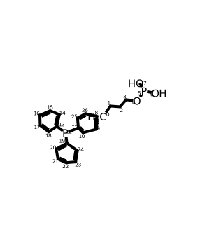 CCCCOP(O)O.c1ccc(P(c2ccccc2)c2ccccc2)cc1